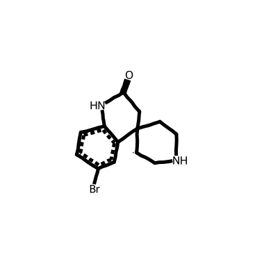 O=C1CC2([CH]CNCC2)c2cc(Br)ccc2N1